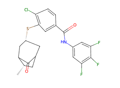 C[C@H]1CC2C[C@@H](Sc3cc(C(=O)Nc4cc(F)c(F)c(F)c4)ccc3Cl)CC1C2=O